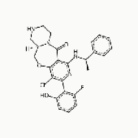 C[C@@H](Nc1nc(-c2c(O)cccc2F)c(Cl)c2c1C(=O)N1CCNC[C@@H]1CO2)c1ccccc1